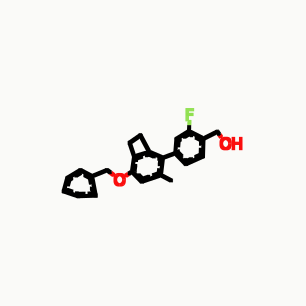 Cc1cc(OCc2ccccc2)c2c(c1-c1ccc(CO)c(F)c1)CC2